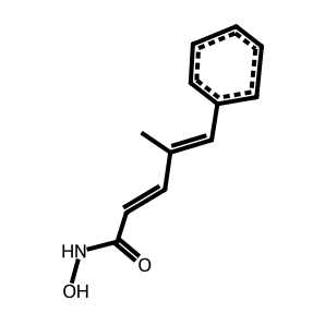 CC(/C=C/C(=O)NO)=C\c1ccccc1